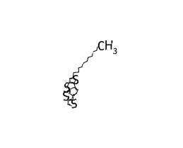 CCCCCCCCCCCCc1cc2sc3c(ccc4c5sccc5sc43)c2s1